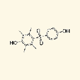 Cc1c(C)c(S(=O)(=O)c2ccc(O)cc2)c(C)c(C)c1O